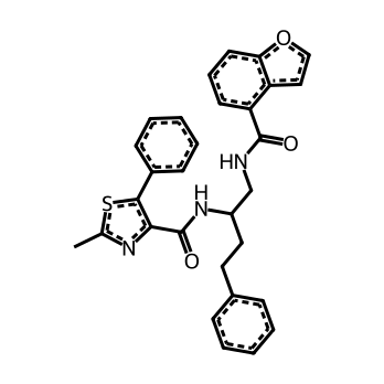 Cc1nc(C(=O)NC(CCc2ccccc2)CNC(=O)c2cccc3occc23)c(-c2ccccc2)s1